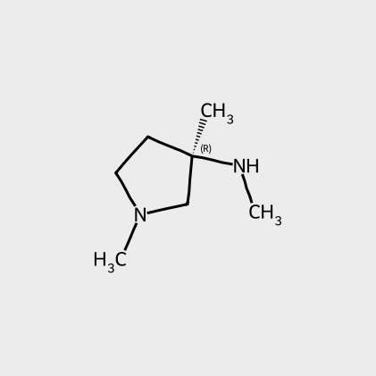 CN[C@]1(C)CCN(C)C1